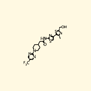 Cc1nc(CO)sc1-c1csc(NC(=O)CC2CCN(c3ncc(C(F)(F)F)cn3)CC2)n1